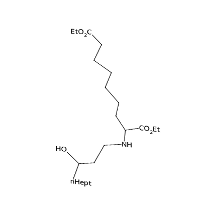 CCCCCCCC(O)CCNC(CCCCCCC(=O)OCC)C(=O)OCC